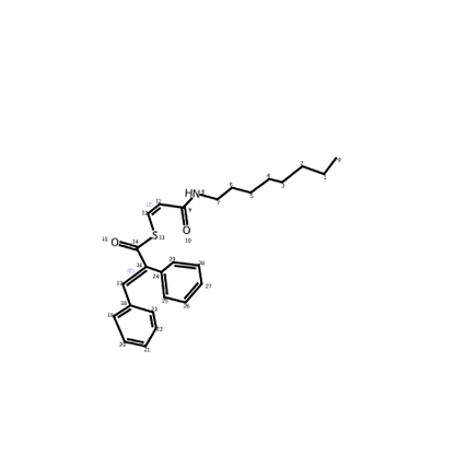 CCCCCCCCNC(=O)/C=C\SC(=O)/C(=C/c1ccccc1)c1ccccc1